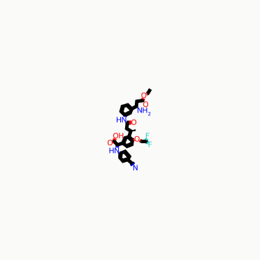 CCOC(=O)C[C@@H](N)c1cccc(NC(=O)C[C@@H](C)c2cc(C(Nc3ccc(C#N)cc3)C(=O)O)ccc2OCC(F)F)c1